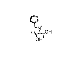 CC(O)C(C(=O)O)N(C)Cc1ccccc1